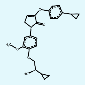 COc1cc(N2CC=C(Oc3ccc(C4CC4)cc3)C2=O)ccc1OC[C@H](O)C1CC1